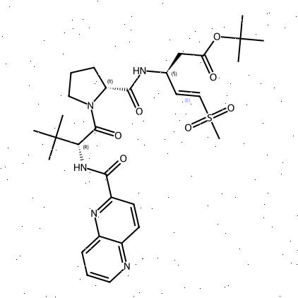 CC(C)(C)OC(=O)C[C@@H](/C=C/S(C)(=O)=O)NC(=O)[C@H]1CCCN1C(=O)[C@H](NC(=O)c1ccc2ncccc2n1)C(C)(C)C